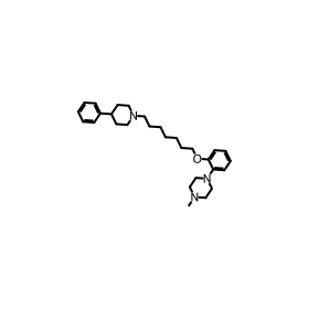 CN1CCN(c2ccccc2OCCCCCCCN2CCC(c3ccccc3)CC2)CC1